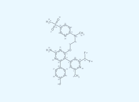 Cc1cc(-c2c(OCCN(C)c3ccc(S(C)(=O)=O)cn3)nc(N)nc2-c2ccc(F)cc2)cc(C(F)F)n1